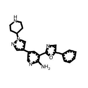 Nc1ncc(-c2cnn(C3CCNCC3)c2)cc1-c1ncc(-c2ccccc2)o1